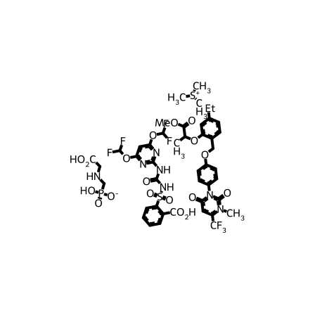 CCc1ccc(COc2ccc(-n3c(=O)cc(C(F)(F)F)n(C)c3=O)cc2)c(OC(C)C(=O)OC)c1.C[S+](C)C.O=C(Nc1nc(OC(F)F)cc(OC(F)F)n1)NS(=O)(=O)c1ccccc1C(=O)O.O=C(O)CNCP(=O)([O-])O